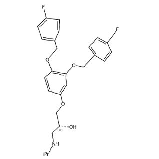 CC(C)NC[C@@H](O)COc1ccc(OCc2ccc(F)cc2)c(OCc2ccc(F)cc2)c1